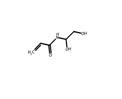 C=CC(=O)NC(O)CO